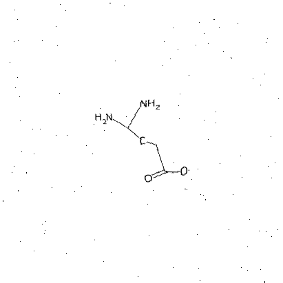 NC(N)CCC([O])=O